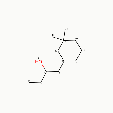 CCC(O)CC1[CH]C(C)(C)CCC1